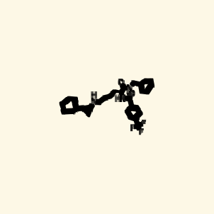 O=C(N[C@@H](CCCCNC1CC1c1ccccc1)C(=O)NCc1ccccc1)c1ccc(C(F)(F)F)cc1